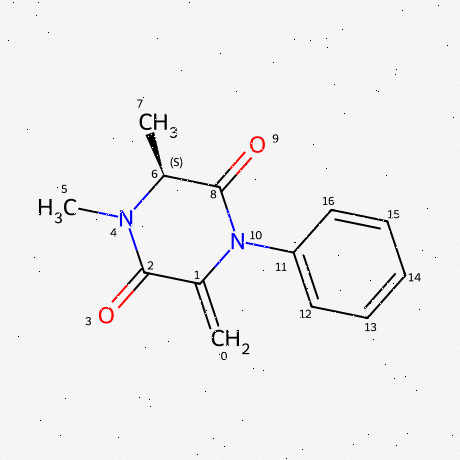 C=C1C(=O)N(C)[C@@H](C)C(=O)N1c1ccccc1